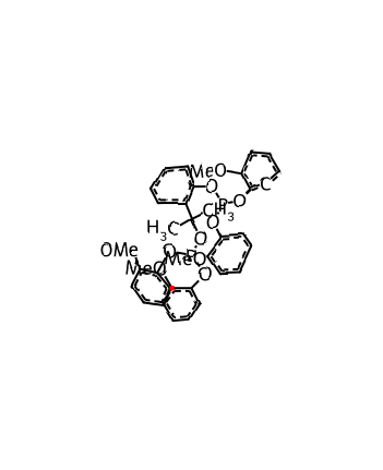 COc1ccccc1OP(Oc1ccccc1OC)Oc1ccccc1C(C)(C)OP(Oc1ccccc1OC)Oc1ccccc1OC